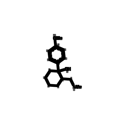 CNCC1CCCCC1(O)c1ccc(OC)cc1